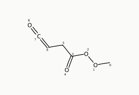 COOC(=O)CC=C=O